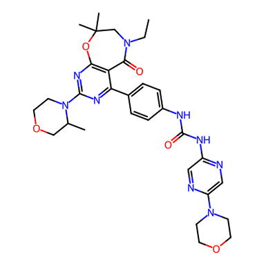 CCN1CC(C)(C)Oc2nc(N3CCOCC3C)nc(-c3ccc(NC(=O)Nc4cnc(N5CCOCC5)cn4)cc3)c2C1=O